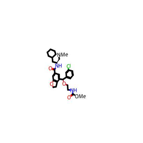 CNC[C@H](CC1CCCCC1)NC(=O)c1cc2c(c([C@H](OCCNC(=O)OC)c3cccc(Cl)c3)c1)CCO2